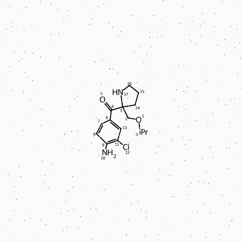 CC(C)OCC1(C(=O)c2ccc(N)c(Cl)c2)CCCN1